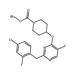 CC(C)(C)OC(=O)N1CCC(Oc2nc(Cc3ccc(Cl)cc3F)ncc2F)CC1